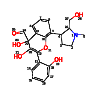 CN1CCC(c2cccc3c2OC(c2ccccc2O)=C(O)C3(O)C=O)C1CO